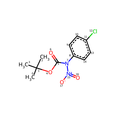 CC(C)(C)OC(=O)N(c1ccc(Cl)cc1)[N+](=O)[O-]